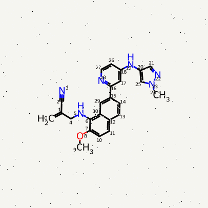 C=C(C#N)CNc1c(OC)ccc2ccc(-c3cc(Nc4cnn(C)c4)ccn3)cc12